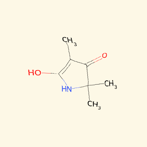 CC1=C(O)NC(C)(C)C1=O